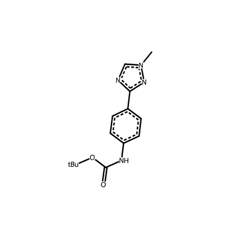 Cn1cnc(-c2ccc(NC(=O)OC(C)(C)C)cc2)n1